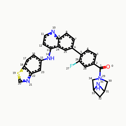 O=C(c1ccc(-c2ccc3nccc(Nc4ccc5scnc5c4)c3c2)c(F)c1)N1CC2CC(C1)N2